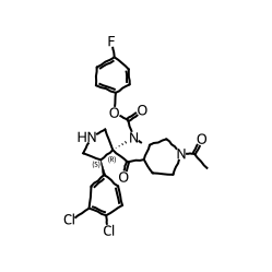 CC(=O)N1CCC(C(=O)[C@]2(N(C)C(=O)Oc3ccc(F)cc3)CNC[C@@H]2c2ccc(Cl)c(Cl)c2)CC1